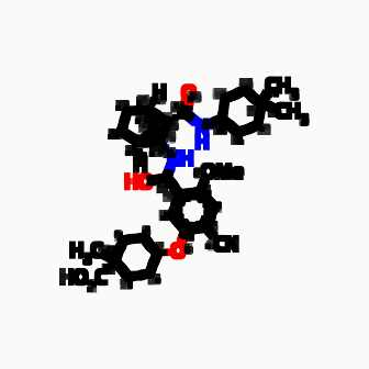 COc1cc(C#N)c(O[C@H]2CC[C@@](C)(C(=O)O)CC2)cc1C(O)N[C@@H]1[C@H]2CC[C@H](C2)[C@@H]1C(=O)NC1CCC(C)(C)CC1